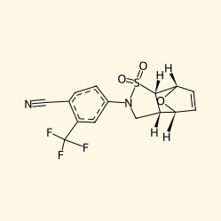 N#Cc1ccc(N2C[C@@H]3[C@@H]([C@@H]4C=C[C@H]3O4)S2(=O)=O)cc1C(F)(F)F